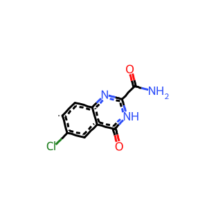 NC(=O)c1nc2c[c]c(Cl)cc2c(=O)[nH]1